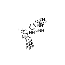 CCC(Nc1cccc(NS(C)(=O)=O)c1C=N)(C(N)=O)c1ccc(S(F)(F)(F)(F)F)cc1